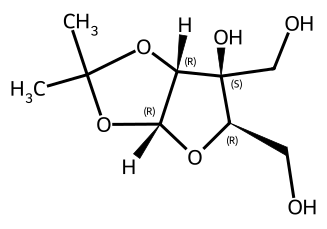 CC1(C)O[C@H]2O[C@H](CO)[C@@](O)(CO)[C@H]2O1